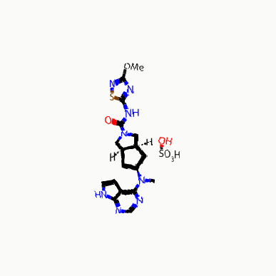 COc1nsc(NC(=O)N2C[C@H]3C[C@@H](N(C)c4ncnc5[nH]ccc45)C[C@H]3C2)n1.O=S(=O)(O)O